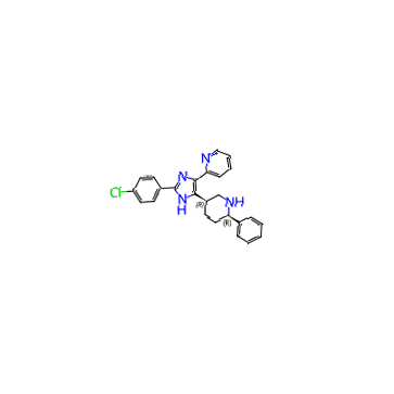 Clc1ccc(-c2nc(-c3ccccn3)c([C@@H]3CC[C@H](c4ccccc4)NC3)[nH]2)cc1